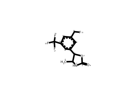 CC1NC(=O)OC1c1cc(CF)cc(C(F)(F)F)c1